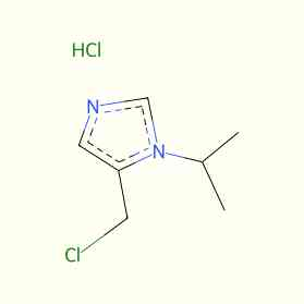 CC(C)n1cncc1CCl.Cl